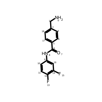 NCc1ccc(C(=O)Nc2ccc(F)c(F)c2)cc1